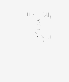 CCCCCCCCCCCCCC(C)=C(CC(=O)CO[Si](CC)(CC)CC)C(=O)O